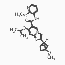 COc1ncccc1NC(=O)c1cn2cc([C@@H]3CC4(OC)CC3C4)nc2cc1OC(C)C